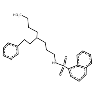 O=C(O)CCCC(CCCNS(=O)(=O)c1cccc2ccccc12)CCc1cccnc1